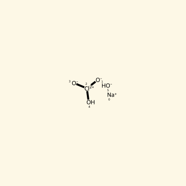 [Na+].[O-][Cl+2]([O-])O.[OH-]